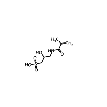 C=C(C)C(=O)NCC(O)CS(=O)(=O)O